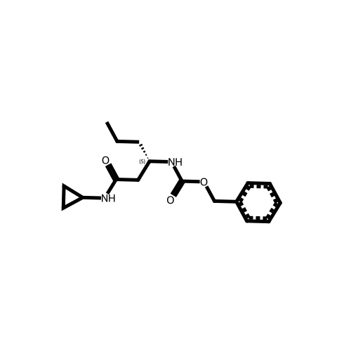 CCC[C@@H](CC(=O)NC1CC1)NC(=O)OCc1ccccc1